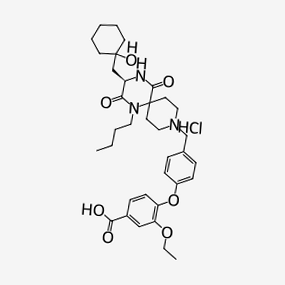 CCCCN1C(=O)[C@@H](CC2(O)CCCCC2)NC(=O)C12CCN(Cc1ccc(Oc3ccc(C(=O)O)cc3OCC)cc1)CC2.Cl